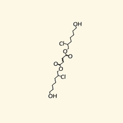 O=C(C=CC(=O)OCC(Cl)CCCCCO)OCC(Cl)CCCCCO